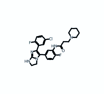 O=C(CCN1CCCCC1)Nc1cc(-c2c(-c3cc(Cl)ccc3F)nc3n2CCN3)ccc1F